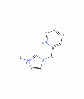 C[n+]1ccn(Cc2ccccn2)c1